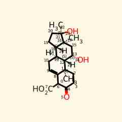 C[C@]12CCC(=O)C(C(=O)O)C1=CC[C@@H]1[C@@H]2[C@@H](O)C[C@@]2(C)[C@H]1CC[C@@]2(C)O